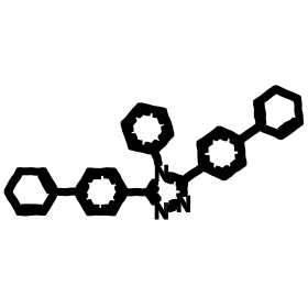 C1=CC(c2ccc(-c3nnc(-c4ccc(C5=CCCC=C5)cc4)n3-c3ccccc3)cc2)=CCC1